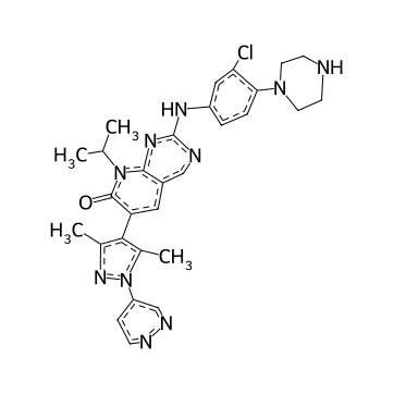 Cc1nn(-c2ccnnc2)c(C)c1-c1cc2cnc(Nc3ccc(N4CCNCC4)c(Cl)c3)nc2n(C(C)C)c1=O